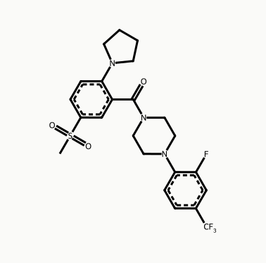 CS(=O)(=O)c1ccc(N2CCCC2)c(C(=O)N2CCN(c3ccc(C(F)(F)F)cc3F)CC2)c1